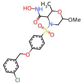 COC1CN(S(=O)(=O)c2ccc(OCc3cccc(Cl)c3)cc2)C(C(=O)NO)C(C)O1